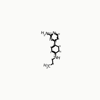 CCCNC1=CC=C(c2ccnc(N)n2)CC1